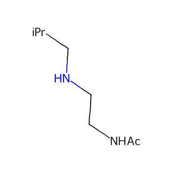 CC(=O)NCCNCC(C)C